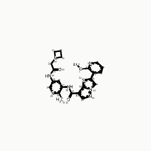 CCOc1ncccc1-c1cn2ncc(C(=O)Nc3cc(NC(=O)CN4CCC4)cnc3C)c2s1